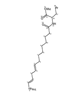 CCCCCC=CCC=CCCCCCCCC(=O)NC(CC(C)C)C(=O)OC